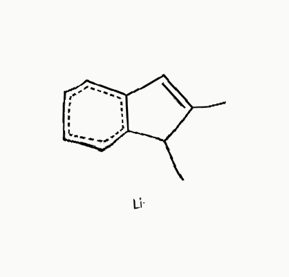 CC1=Cc2ccccc2C1C.[Li]